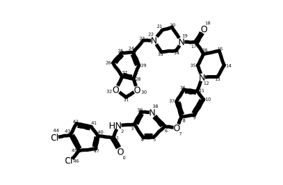 O=C(Nc1ccc(Oc2ccc(N3CCCC(C(=O)N4CCN(Cc5ccc6c(c5)OCO6)CC4)C3)cc2)nc1)c1ccc(Cl)c(Cl)c1